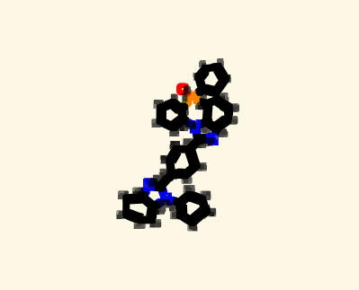 O=P1(c2ccccc2)c2ccccc2-n2c(-c3ccc(-c4nc5ccccc5n4-c4ccccc4)cc3)nc3cccc1c32